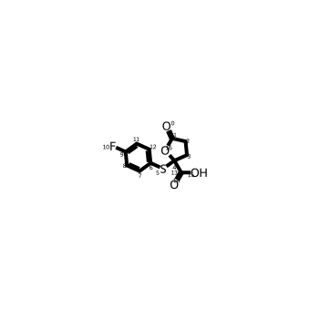 O=C1CCC(Sc2ccc(F)cc2)(C(=O)O)O1